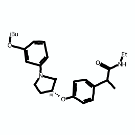 CCNC(=O)C(C)c1ccc(O[C@@H]2CCN(c3cccc(OC(C)CC)c3)C2)cc1